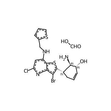 N[C@H]1[C@H](O)C=CC[C@@H]1c1sc2c(NCc3cccs3)cc(Cl)nc2c1Br.O=CO